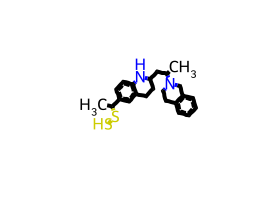 CC(SS)c1ccc2c(c1)CCC(CC(C)N1CCc3ccccc3C1)N2